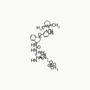 CC(C)C(=N)/C=C(/NC(=O)N[C@H]1CC[C@@H](Oc2ccc3nnc(N4[C@H](C)CCC[C@@H]4C)n3c2)c2ccccc21)Nc1ccn(CCOS(C)(=O)=O)n1